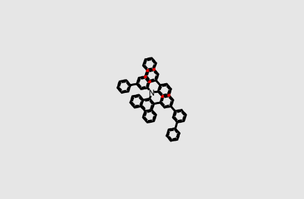 c1ccc(-c2cccc(-c3cccc(-c4c(N(c5cc(-c6ccccc6)cc(-c6ccccc6)c5)c5ccccc5-c5ccccc5)c5ccccc5c5ccccc45)c3)c2)cc1